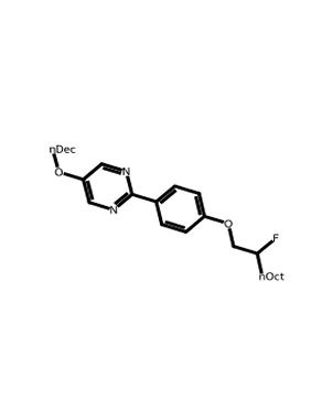 CCCCCCCCCCOc1cnc(-c2ccc(OCC(F)CCCCCCCC)cc2)nc1